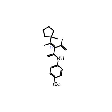 C=C(C)/C(C(=C)Nc1ccc(C(C)(C)C)cc1)=C(/C)C1(C)CCCC1